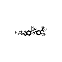 CCc1cc2ccc(NS(=O)(=O)c3ccc(O)c(C(N)=O)c3)cc2[nH]1